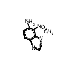 C.Nc1ccc2nccnc2c1[N+](=O)[O-]